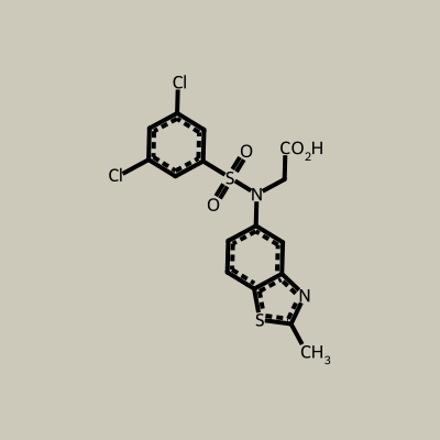 Cc1nc2cc(N(CC(=O)O)S(=O)(=O)c3cc(Cl)cc(Cl)c3)ccc2s1